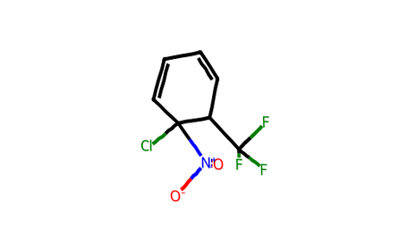 O=[N+]([O-])C1(Cl)C=CC=CC1C(F)(F)F